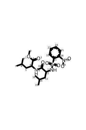 COC(=O)C(CC(C)C)NC(=O)C(CC(C)C)NS(=O)(=O)c1ccccc1[N+](=O)[O-]